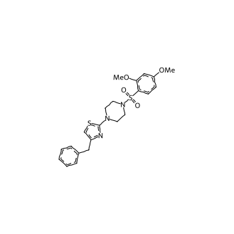 COc1ccc(S(=O)(=O)N2CCN(c3nc(Cc4ccccc4)cs3)CC2)c(OC)c1